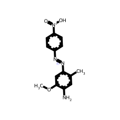 COc1cc(/N=N/c2ccc([N+](=O)O)cc2)c(C)cc1N